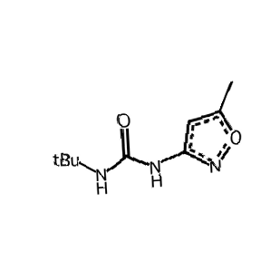 Cc1cc(NC(=O)NC(C)(C)C)no1